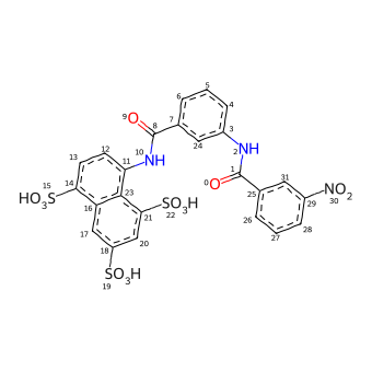 O=C(Nc1cccc(C(=O)Nc2ccc(S(=O)(=O)O)c3cc(S(=O)(=O)O)cc(S(=O)(=O)O)c23)c1)c1cccc([N+](=O)[O-])c1